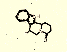 O=C1CCCC2c3[nH]c4ccccc4c3C(F)CN12